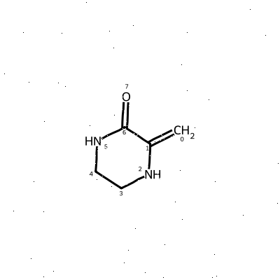 C=C1NCCNC1=O